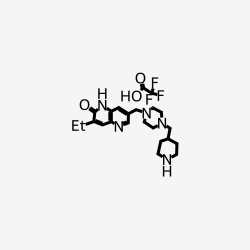 CCc1cc2ncc(CN3CCN(CC4CCNCC4)CC3)cc2[nH]c1=O.O=C(O)C(F)(F)F